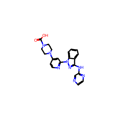 O=C(O)N1CCN(c2ccnc(-n3nc(Nc4cnccn4)c4ccccc43)c2)CC1